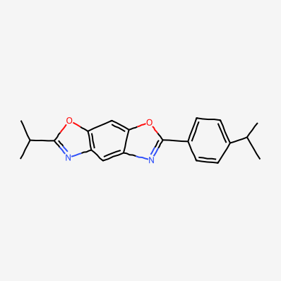 CC(C)c1ccc(-c2nc3cc4nc(C(C)C)oc4cc3o2)cc1